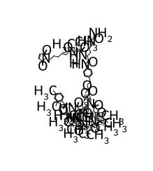 CC[C@H](C)[C@@H]([C@@H](CC(=O)N1C[C@@H](OC(=O)OCc2ccc(NC(=O)C(CCCNC(N)=O)NC(=O)[C@@H](NC(=O)CCCCCN3C(=O)C=CC3=O)C(C)C)cc2)C[C@H]1[C@H](OC)[C@@H](C)C(=O)NCC(=O)c1ccc(C)cc1C)OC)N(C)C(=O)[C@@H](NC(=O)[C@H](C(C)C)N(C)C)C(C)C